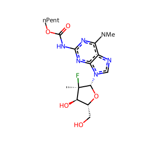 CCCCCOC(=O)Nc1nc(NC)c2ncn([C@@H]3O[C@H](CO)[C@@H](O)[C@@]3(C)F)c2n1